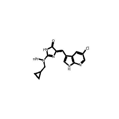 CCCN(CC1CC1)C1=N/C(=C\c2c[nH]c3ncc(Cl)cc23)C(=O)N1